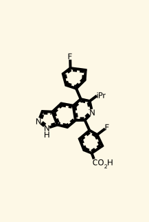 CC(C)c1nc(-c2ccc(C(=O)O)cc2F)c2cc3[nH]ncc3cc2c1-c1ccc(F)cc1